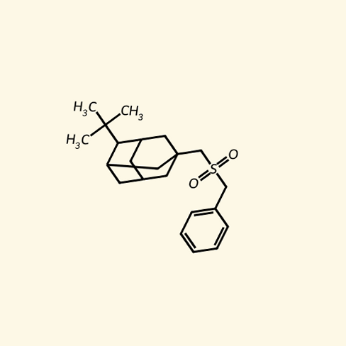 CC(C)(C)C1C2CC3CC1CC(CS(=O)(=O)Cc1ccccc1)(C3)C2